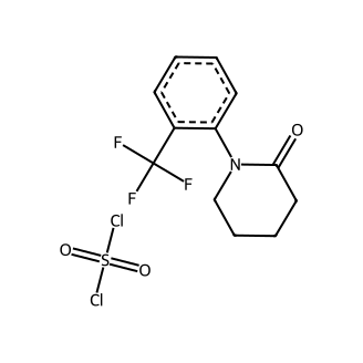 O=C1CCCCN1c1ccccc1C(F)(F)F.O=S(=O)(Cl)Cl